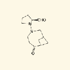 O=C[C@@H]1CCCN1N1CCC(=O)C2CC(C2)C1